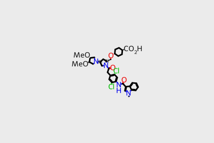 COC1CN([C@H]2C[C@@H](CO[C@H]3CC[C@H](C(=O)O)CC3)N(C(=O)Cc3cc(Cl)c(NC(=O)c4cn(C)c5ccccc45)cc3Cl)C2)CC1OC